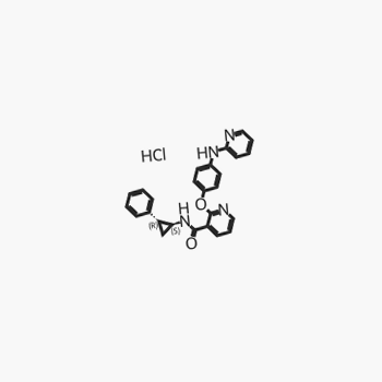 Cl.O=C(N[C@H]1C[C@@H]1c1ccccc1)c1cccnc1Oc1ccc(Nc2ccccn2)cc1